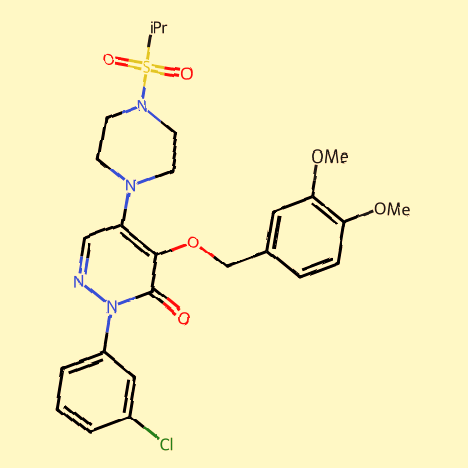 COc1ccc(COc2c(N3CCN(S(=O)(=O)C(C)C)CC3)cnn(-c3cccc(Cl)c3)c2=O)cc1OC